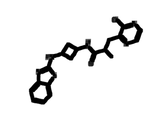 CC(Cc1nccnc1Cl)C(=O)NC1CC(Nc2nc3ccccc3s2)C1